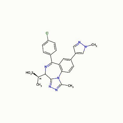 Cc1nnc2n1-c1ccc(-c3cnn(C)c3)cc1C(c1ccc(Cl)cc1)=NC2[C@@H](C)S(=O)(=O)O